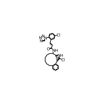 O=C(/C=C/c1cc(Cl)ccc1-n1cnnn1)NC1CCCCCCc2ccccc2-c2nc1[nH]c2Cl